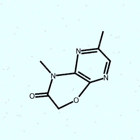 Cc1cnc2c(n1)N(C)C(=O)CO2